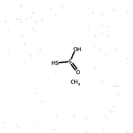 C.O=S(O)S